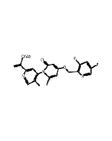 C=C(OC)c1cc(-n2c(C)cc(OCc3ncc(F)cc3F)cc2=O)c(C)cn1